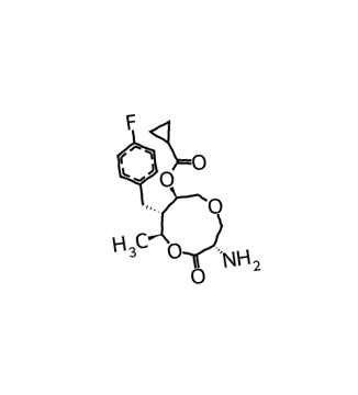 C[C@@H]1OC(=O)[C@@H](N)COC[C@H](OC(=O)C2CC2)[C@H]1Cc1ccc(F)cc1